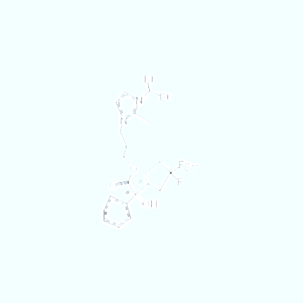 CCC(CC)[n+]1ccn(CCCOC(=O)[C@](O)(c2ccccc2)[C@@H]2CCC(F)(F)C2)c1C.[Br-]